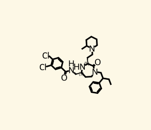 CCC(CN1CC[C@@H](CNC(=O)c2ccc(Cl)c(Cl)c2)N[C@@H](CCN2CCCCC2C)C1=O)c1ccccc1